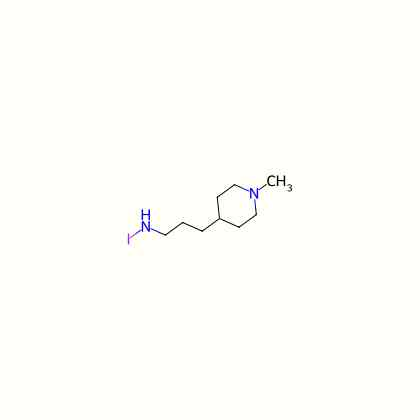 CN1CCC(CCCNI)CC1